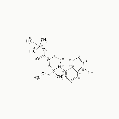 COCC1(C)CN(C(=O)OC(C)(C)C)CCN1c1nccc2c(F)cccc12